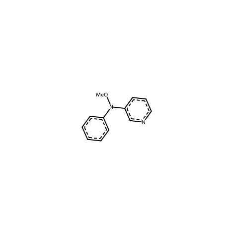 CON(c1[c]nccc1)c1ccccc1